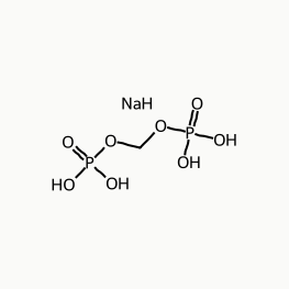 O=P(O)(O)OCOP(=O)(O)O.[NaH]